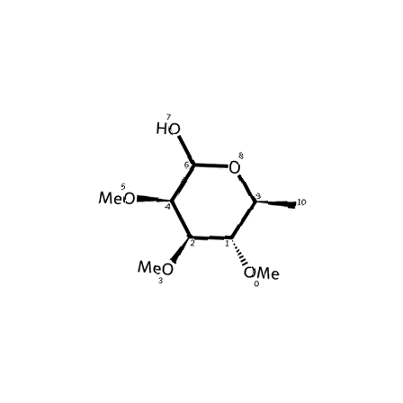 CO[C@@H]1[C@@H](OC)[C@@H](OC)C(O)O[C@H]1C